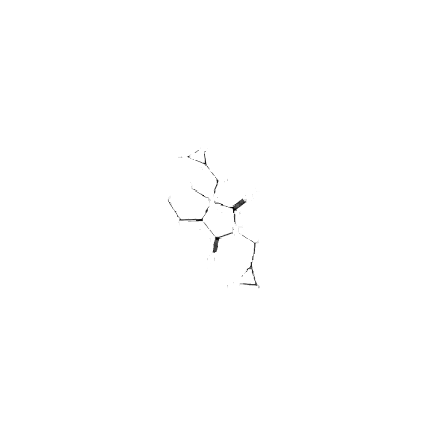 CCC1C(=O)N(CC2CO2)C(=O)[N+]1(C)CC1CO1